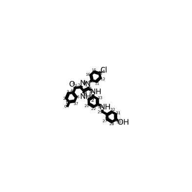 Cc1ccc(C(=O)c2nn(-c3ccc(Cl)cc3)c(Nc3cccc(NCc4ccc(O)cc4)c3)c2N)cc1